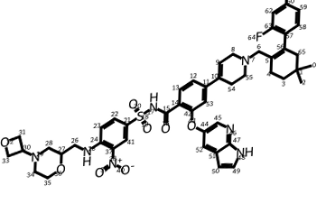 CC1(C)CCC(CN2CC=C(c3ccc(C(=O)NS(=O)(=O)c4ccc(NCC5CN(C6COC6)CCO5)c([N+](=O)[O-])c4)c(Oc4cnc5[nH]ccc5c4)c3)CC2)=C(c2ccc(Cl)cc2F)C1